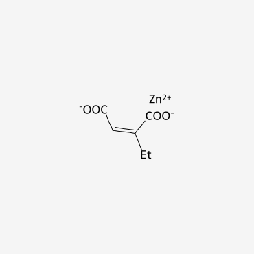 CCC(=CC(=O)[O-])C(=O)[O-].[Zn+2]